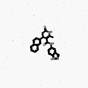 CC1=C(C(=O)Nc2ccc3[nH]ncc3c2)C(c2ccc3ccccc3c2)CC(=O)N1